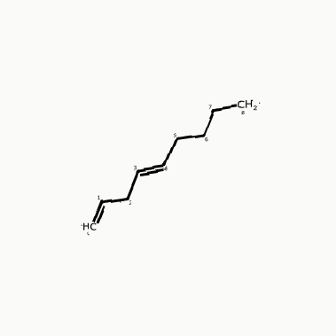 [CH]=CC/C=C/CCC[CH2]